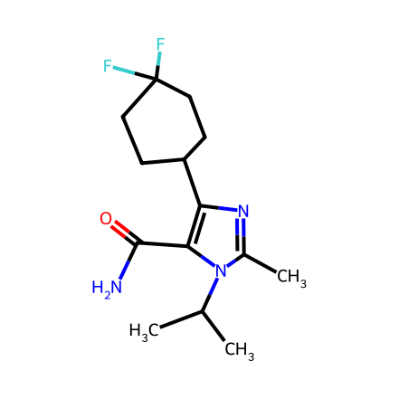 Cc1nc(C2CCC(F)(F)CC2)c(C(N)=O)n1C(C)C